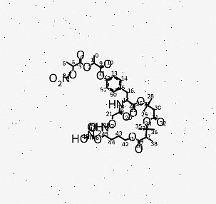 CC(OC(=O)C(C)O[N+](=O)[O-])C(=O)Oc1ccc(CC(NC(=O)CO[N+](=O)[O-])C(=O)OC(C)(C)CC(=O)OC(C)(C)C(C)C(=O)OCCCCON(O)O)cc1